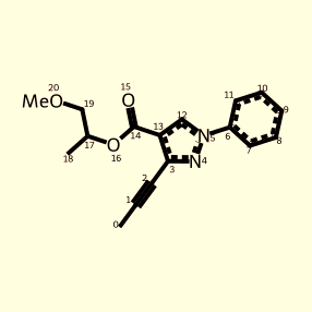 CC#Cc1nn(-c2ccccc2)cc1C(=O)OC(C)COC